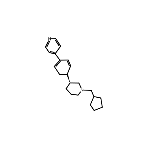 C1=CC([C@@H]2CCCN(CC3CCCC3)C2)CC=C1c1ccncc1